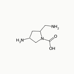 NCC1CC(N)CN1C(=O)O